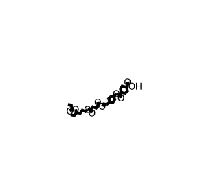 C=CC(=O)OC(CC)CCCOC(=O)CCC(=O)OCCC1CCC(OC(=O)C2CCC(C(=O)O)CC2)CC1